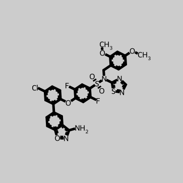 COc1ccc(CN(c2ncns2)S(=O)(=O)c2cc(F)c(Oc3ccc(Cl)cc3-c3ccc4onc(N)c4c3)cc2F)c(OC)c1